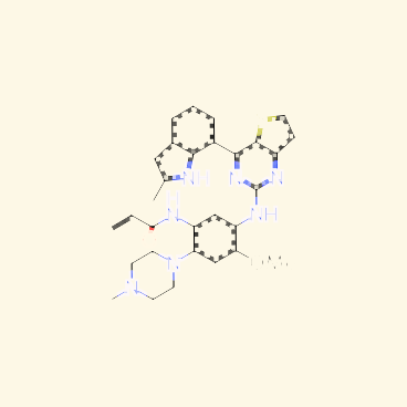 C=CC(=O)Nc1cc(Nc2nc(-c3cccc4cc(C)[nH]c34)c3sccc3n2)c(OC)cc1N1CCN(C)CC1